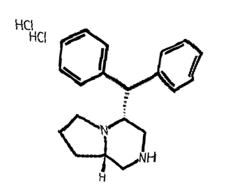 Cl.Cl.c1ccc(C(c2ccccc2)[C@@H]2CNC[C@@H]3CCCN32)cc1